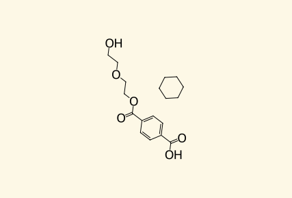 C1CCCCC1.O=C(O)c1ccc(C(=O)OCCOCCO)cc1